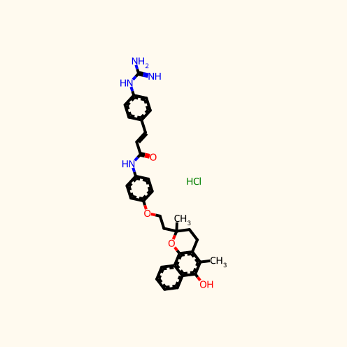 Cc1c2c(c3ccccc3c1O)OC(C)(CCOc1ccc(NC(=O)/C=C/c3ccc(NC(=N)N)cc3)cc1)CC2.Cl